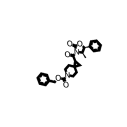 C[C@@H]1[C@H](c2ccccc2)OC(=O)N1C(=O)C1CC12CCN(C(=O)OCc1ccccc1)CC2